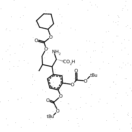 CC(COC(=O)OC1CCCCC1)C(c1ccc(OC(=O)OC(C)(C)C)c(OC(=O)OC(C)(C)C)c1)[C@H](N)C(=O)O